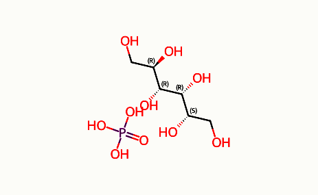 O=P(O)(O)O.OC[C@@H](O)[C@@H](O)[C@H](O)[C@@H](O)CO